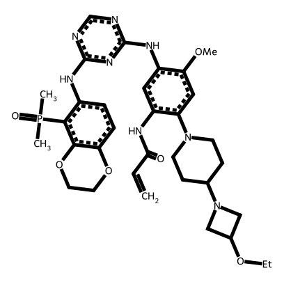 C=CC(=O)Nc1cc(Nc2ncnc(Nc3ccc4c(c3P(C)(C)=O)OCCO4)n2)c(OC)cc1N1CCC(N2CC(OCC)C2)CC1